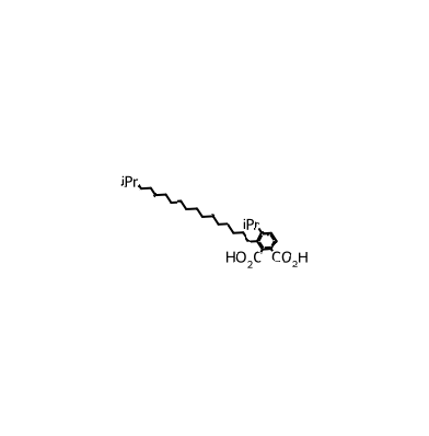 CC(C)CCCCCCCCCCCCCCCc1c(C(C)C)ccc(C(=O)O)c1C(=O)O